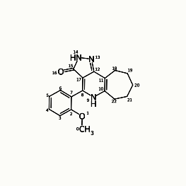 COc1ccccc1-c1[nH]c2c(c3n[nH]c(=O)c1-3)CCCCC2